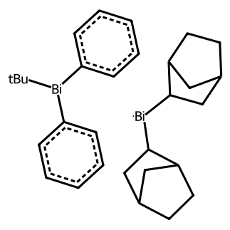 C1CC2CC1C[CH]2[Bi][CH]1CC2CCC1C2.C[C](C)(C)[Bi]([c]1ccccc1)[c]1ccccc1